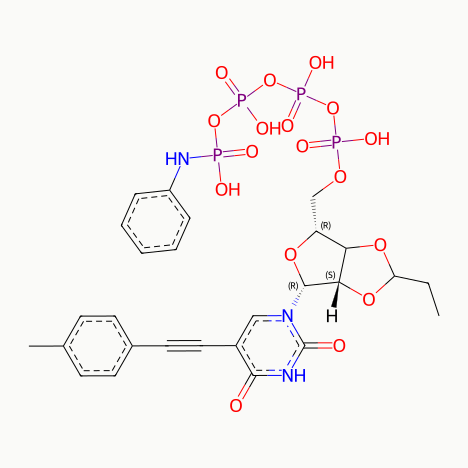 CCC1OC2[C@@H](COP(=O)(O)OP(=O)(O)OP(=O)(O)OP(=O)(O)Nc3ccccc3)O[C@@H](n3cc(C#Cc4ccc(C)cc4)c(=O)[nH]c3=O)[C@H]2O1